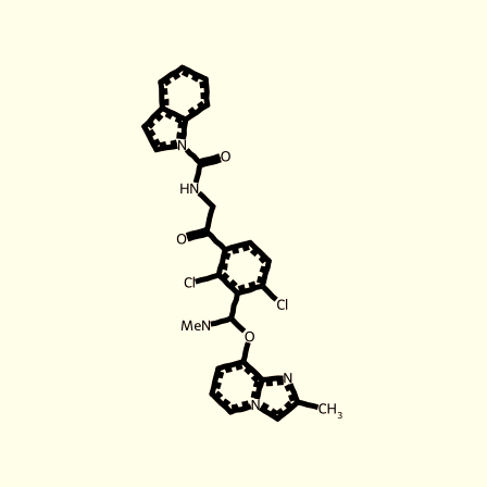 CNC(Oc1cccn2cc(C)nc12)c1c(Cl)ccc(C(=O)CNC(=O)n2ccc3ccccc32)c1Cl